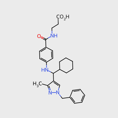 Cc1nn(Cc2ccccc2)cc1C(Nc1ccc(C(=O)NCCC(=O)O)cc1)C1CCCCC1